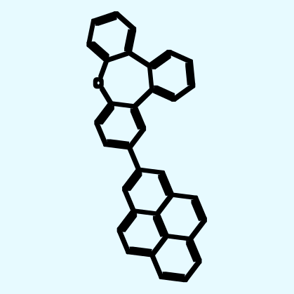 c1ccc2c(c1)Oc1ccc(-c3cc4ccc5cccc6ccc(c3)c4c56)cc1-c1ccccc1-2